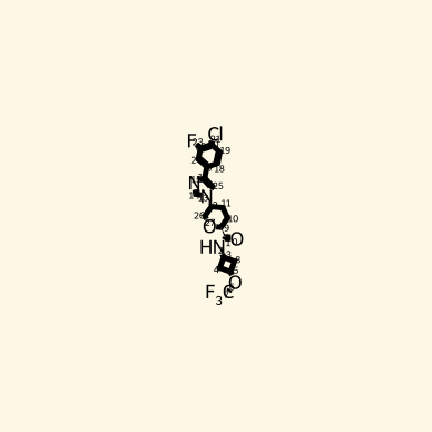 O=C(NC1CC(OC(F)(F)F)C1)[C@H]1CC[C@H](n2cnc(-c3ccc(Cl)c(F)c3)c2)CO1